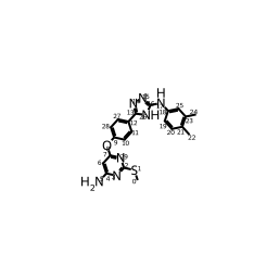 CSc1nc(N)cc(Oc2ccc(-c3nnc(Nc4ccc(C)c(C)c4)[nH]3)cc2)n1